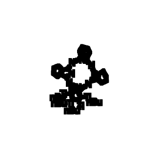 CCC[CH2][Ti][c]1[c]([Ti][CH2]CCC)[c]([Ti][CH2]CCC)c2c3nc4nc(nc5[nH]c(nc6nc(nc([nH]3)c2[c]1[Ti][CH2]CCC)-c1ccccc1-6)c1ccccc51)-c1ccccc1-4